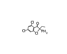 CCC(C)(P)C(=O)c1c(Cl)cc(Cl)cc1Cl